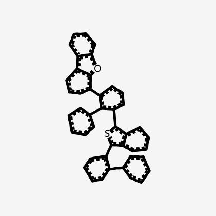 c1ccc(-c2ccccc2-c2sc(-c3cccc(-c4cccc5c4oc4ccccc45)c3-c3ccccc3)c3ccccc23)cc1